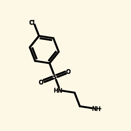 [NH]CCNS(=O)(=O)c1ccc(Cl)cc1